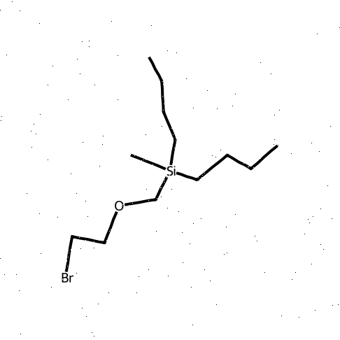 CCCC[Si](C)(CCCC)COCCBr